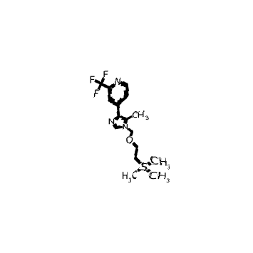 Cc1c(-c2ccnc(C(F)(F)F)c2)ncn1COCCS(C)(C)C